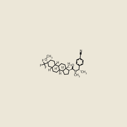 CO[C@]1(C(F)(F)F)CC[C@H]2[C@H](CC[C@@H]3[C@@H]2CC[C@]2(C)[C@@H](C(=O)N(C)[C@@H](C)c4ccc(C#N)cc4)CC[C@@H]32)C1